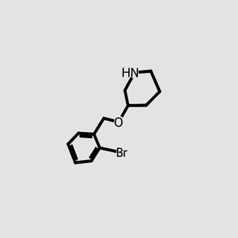 Brc1ccccc1COC1CCCNC1